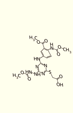 COC(=O)NNc1nc(Nc2ccc(NC(=O)OC)c(C(=O)OC)c2)nc(SCC(=O)O)n1